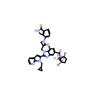 COc1cc(C(=O)N2C[C@H]3CC[C@@H]2[C@@H]3N)cc2nc(-c3cc4cccnc4n3CC3CC3)n(CC3CN(c4cccc5c4CNC5=O)C3)c12